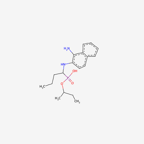 CCCC(Nc1ccc2ccccc2c1N)P(=O)(O)OC(C)CC